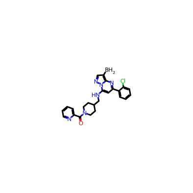 Bc1cnn2c(NCC3CCN(C(=O)c4ccccn4)CC3)cc(-c3ccccc3Cl)nc12